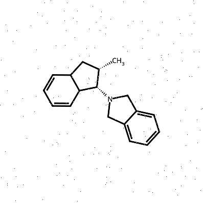 C[C@H]1CC2C=CC=CC2[C@H]1N1Cc2ccccc2C1